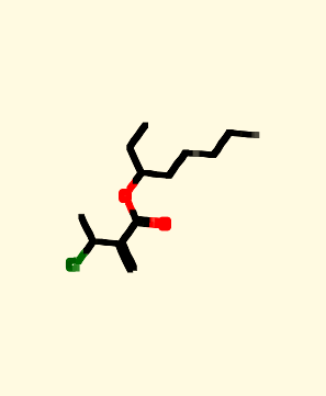 C=C(C(=O)OC(CC)CCCCC)C(C)Cl